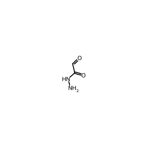 NNC(=O)C=O